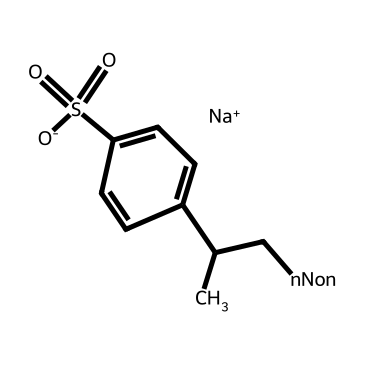 CCCCCCCCCCC(C)c1ccc(S(=O)(=O)[O-])cc1.[Na+]